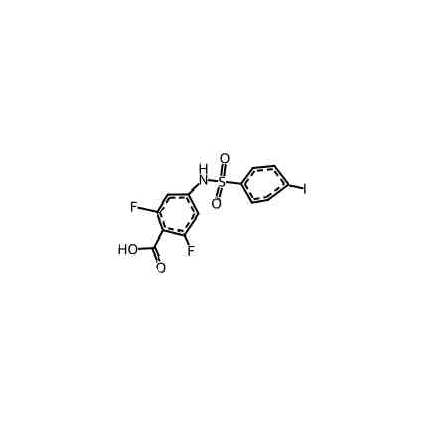 O=C(O)c1c(F)cc(NS(=O)(=O)c2ccc(I)cc2)cc1F